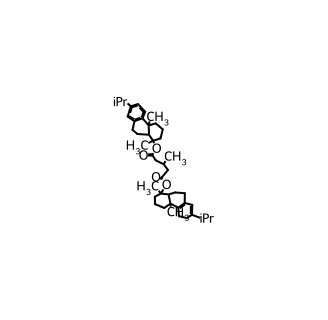 CC(CC(=O)OC1(C)CCCC2(C)C3=C(C=C(C(C)C)CC3)CCC12)CC(=O)OC1(C)CCCC2(C)c3ccc(C(C)C)cc3CCC12